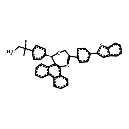 CCC(F)(F)c1ccc([C@H]2CCC(c3ccc(-c4cc5ccccc5s4)cc3)=Nc3c2c2ccccc2c2ccccc32)cc1